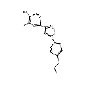 CCCc1ccc(-c2nc(-c3ccc(O)c(I)c3)no2)cc1